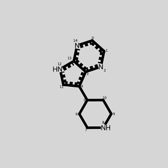 c1cnc2c(C3CCNCC3)c[nH]c2n1